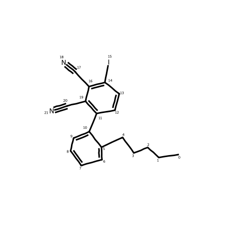 CCCCCc1ccccc1-c1ccc(I)c(C#N)c1C#N